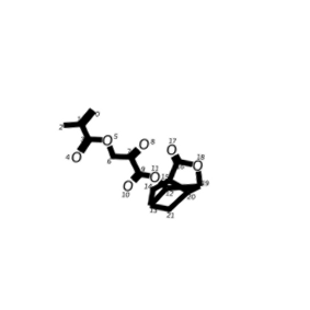 C=C(C)C(=O)OCC(=O)C(=O)OC1C2CC3C(=O)OC1C3C2